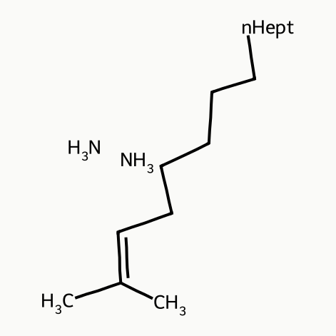 CCCCCCCCCCCCC=C(C)C.N.N